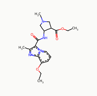 CCOC(=O)C1CN(C)CC1NC(=O)c1c(C)nc2c(OCC)cccn12